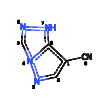 N#Cc1cnn2cn[nH]c12